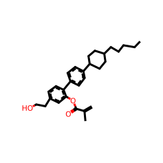 C=C(C)C(=O)Oc1cc(CCO)ccc1-c1ccc(C2CCC(CCCCC)CC2)cc1